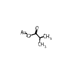 CC(C)C(=O)[O][Au]